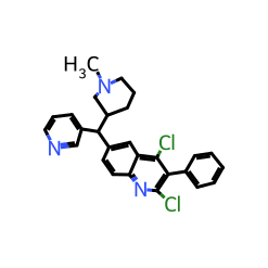 CN1CCCC(C(c2cccnc2)c2ccc3nc(Cl)c(-c4ccccc4)c(Cl)c3c2)C1